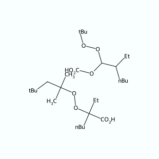 CCCCC(CC)(OOC(C)(C)CC(C)(C)C)C(=O)O.CCCCC(CC)C(OOC(C)(C)C)OC(=O)O